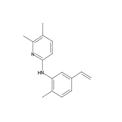 C=Cc1ccc(C)c(Nc2ccc(C)c(C)n2)c1